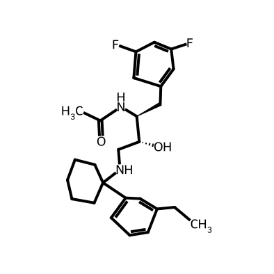 CCc1cccc(C2(NC[C@@H](O)[C@H](Cc3cc(F)cc(F)c3)NC(C)=O)CCCCC2)c1